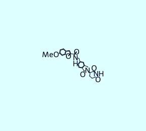 COc1ccc2cc(C(=O)NCc3ccc4c(c3)CN(C3CCC(=O)NC3=O)C4=O)oc2c1